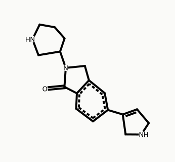 O=C1c2ccc(C3=CCNC3)cc2CN1C1CCCNC1